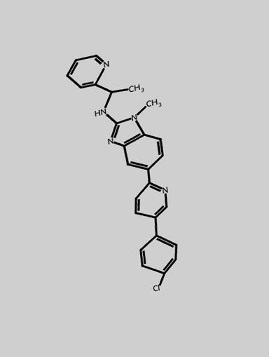 CC(Nc1nc2cc(-c3ccc(-c4ccc(Cl)cc4)cn3)ccc2n1C)c1ccccn1